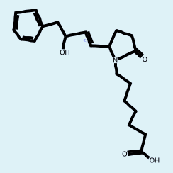 O=C(O)CCCCCCN1C(=O)CCC1/C=C/C(O)Cc1ccccc1